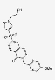 COc1ccc(Cn2ncc3cc(S(=O)(=O)c4cnn(CCO)c4)ccc3c2=O)nc1